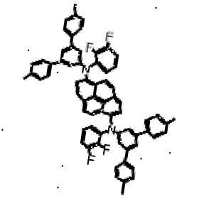 Cc1ccc(-c2cc(-c3ccc(C)cc3)cc(N(c3cccc(F)c3F)c3ccc4ccc5c(N(c6cc(-c7ccc(C)cc7)cc(-c7ccc(C)cc7)c6)c6cccc(F)c6F)ccc6ccc3c4c65)c2)cc1